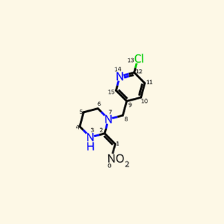 O=[N+]([O-])/C=C1\NCCCN1Cc1ccc(Cl)nc1